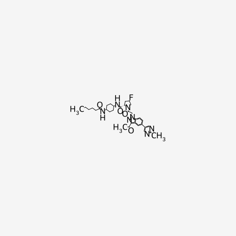 CCCCCC(=O)NC1CCC(NC(=O)[C@@H]2C[C@@H](F)CN2C(=O)Cn2nc(C(C)=O)c3cc(-c4cnc(C)nc4)ccc32)CC1